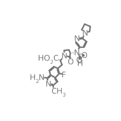 Cc1cc2c(F)c(C[C@H](C(=O)O)N3CC[C@H](N(c4ccc(N5CCCC5)nc4)[SH](=O)=O)C3=O)ccc2c(N)n1